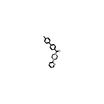 Cc1ccc(-c2ccc(C(=O)N3CCN(c4ccccn4)CC3)cc2)cc1